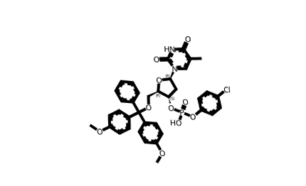 COc1ccc(C(OC[C@H]2O[C@@H](n3cc(C)c(=O)[nH]c3=O)C[C@@H]2OP(=O)(O)Oc2ccc(Cl)cc2)(c2ccccc2)c2ccc(OC)cc2)cc1